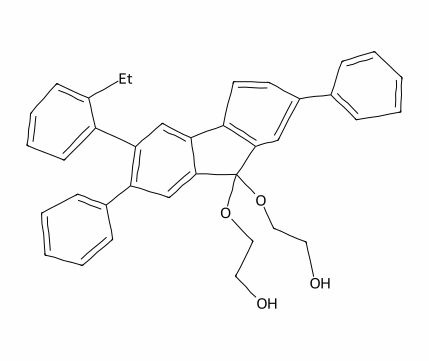 CCc1ccccc1-c1cc2c(cc1-c1ccccc1)C(OCCO)(OCCO)c1cc(-c3ccccc3)ccc1-2